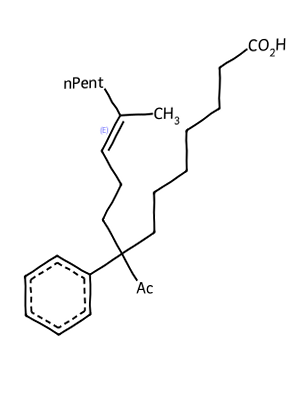 CCCCC/C(C)=C/CCC(CCCCCCC(=O)O)(C(C)=O)c1ccccc1